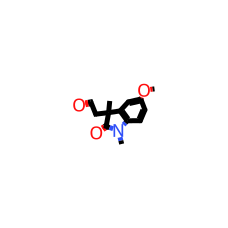 COc1ccc2c(c1)C(C)(CC=O)C(=O)N2C